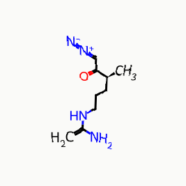 C=C(N)NCCC[C@H](C)C(=O)C=[N+]=[N-]